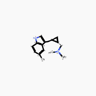 CCCN(CCC)C[C@H]1CC1c1c[nH]c2ccc(C#N)cc12